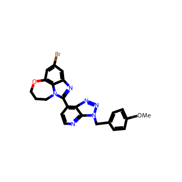 COc1ccc(Cn2nnc3c(-c4nc5cc(Br)cc6c5n4CCCO6)ccnc32)cc1